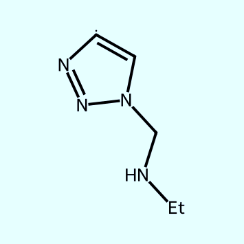 CCNCn1c[c]nn1